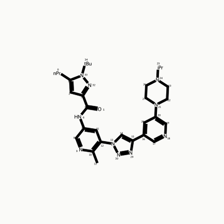 CCCc1cc(C(=O)Nc2cnc(C)c(-n3cc(-c4cncc(N5CCN(C(C)C)CC5)c4)nn3)c2)nn1C(C)(C)C